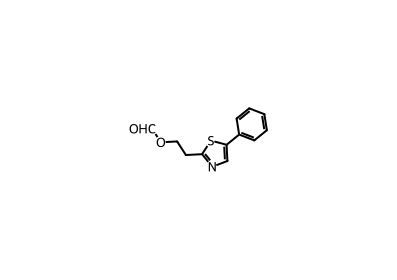 O=COCCc1ncc(-c2ccccc2)s1